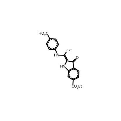 CCCC(Nc1ccc(C(=O)O)cc1)=C1Nc2cc(C(=O)OCC)ccc2C1=O